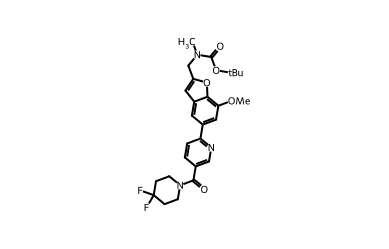 COc1cc(-c2ccc(C(=O)N3CCC(F)(F)CC3)cn2)cc2cc(CN(C)C(=O)OC(C)(C)C)oc12